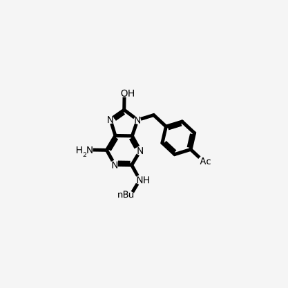 CCCCNc1nc(N)c2nc(O)n(Cc3ccc(C(C)=O)cc3)c2n1